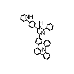 C1=CNC(c2ccc(C3=CC(c4ccc(-c5cccc6c7ccccc7n(-c7ccccc7)c56)cc4)=NC(c4ccccc4)N3)cc2)C=C1